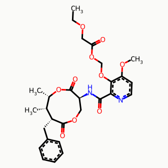 CCOCC(=O)OCOc1c(OC)ccnc1C(=O)N[C@H]1COC(=O)[C@H](Cc2ccccc2)[C@H](C)[C@H](C)OC1=O